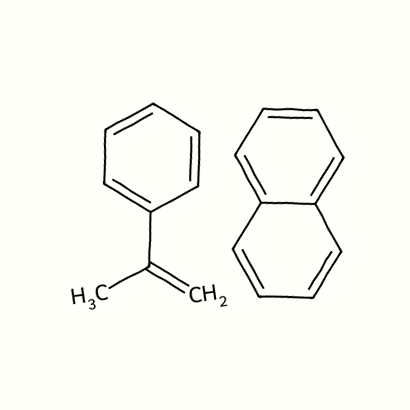 C=C(C)c1ccccc1.c1ccc2ccccc2c1